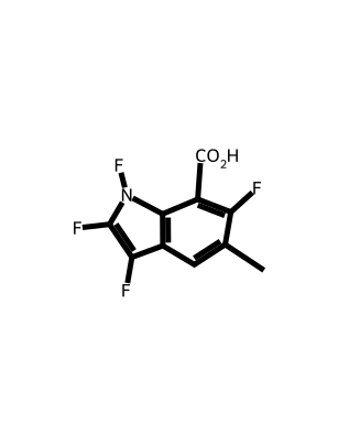 Cc1cc2c(F)c(F)n(F)c2c(C(=O)O)c1F